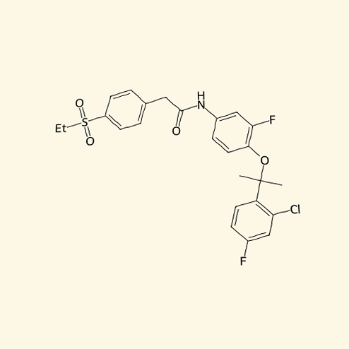 CCS(=O)(=O)c1ccc(CC(=O)Nc2ccc(OC(C)(C)c3ccc(F)cc3Cl)c(F)c2)cc1